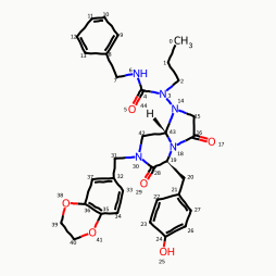 CCCN(C(=O)NCc1ccccc1)N1CC(=O)N2[C@@H](Cc3ccc(O)cc3)C(=O)N(Cc3ccc4c(c3)OCCO4)C[C@@H]21